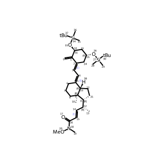 C=C1/C(=C/C=C2\CCC[C@]3(C)[C@@H]([C@H](C)/C=C/C(=O)N(C)OC)CC[C@@H]23)C[C@@H](O[Si](C)(C)C(C)(C)C)C[C@@H]1O[Si](C)(C)C(C)(C)C